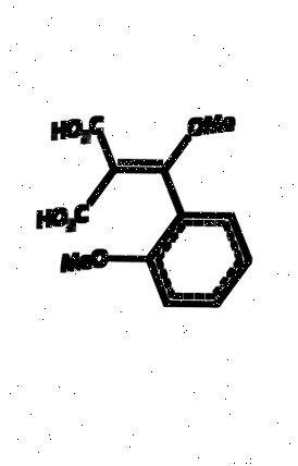 COC(=C(C(=O)O)C(=O)O)c1ccccc1OC